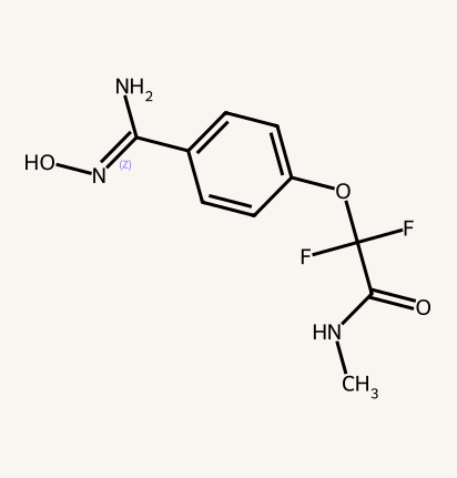 CNC(=O)C(F)(F)Oc1ccc(/C(N)=N/O)cc1